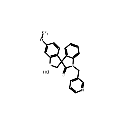 Cl.O=C1N(Cc2cccnc2)c2ccccc2C12COc1cc(OC(F)(F)F)ccc12